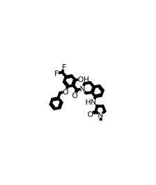 CN1CC[C@@H](Nc2cccc3c2CN(C(=O)c2c(O)cc(C(F)F)cc2OCc2ccccc2)CC3)C1=O